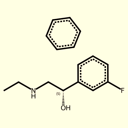 CCNC[C@@H](O)c1cccc(F)c1.c1ccccc1